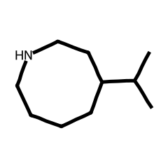 CC(C)C1CCCCNCC1